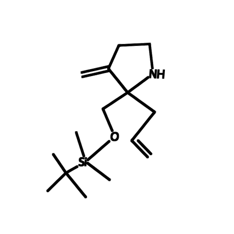 C=CCC1(CO[Si](C)(C)C(C)(C)C)NCCC1=C